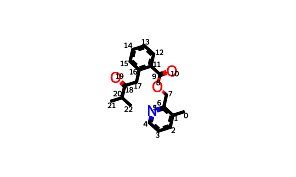 Cc1cccnc1COC(=O)c1ccccc1CC(=O)C(C)C